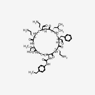 CCc1ccc(NC(=O)N[C@H]2CCNC(=O)[C@H]([C@@H](C)O)NC(=O)[C@H](CCN)NC[C@](C=O)(CCN)NC(=O)[C@H](CC(C)C)NC[C@@](C=O)(Cc3ccccc3)NC(=O)[C@H](CCN)NC2=O)cc1